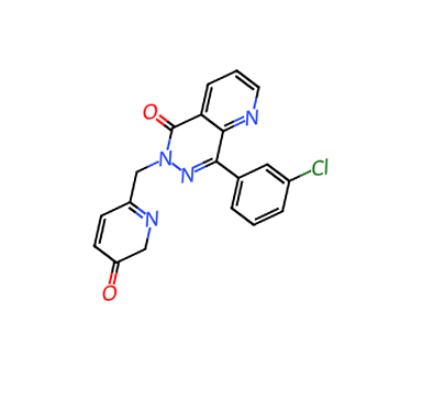 O=C1C=CC(Cn2nc(-c3cccc(Cl)c3)c3ncccc3c2=O)=NC1